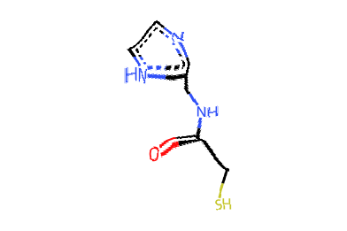 O=C(CS)Nc1ncc[nH]1